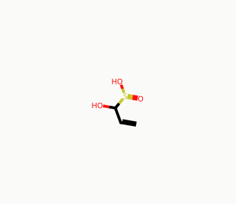 C=CC(O)S(=O)O